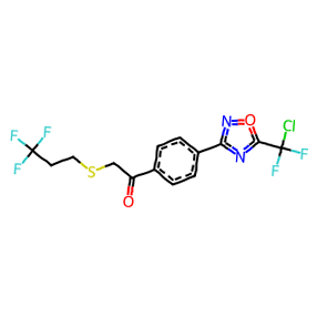 O=C(CSCCC(F)(F)F)c1ccc(-c2noc(C(F)(F)Cl)n2)cc1